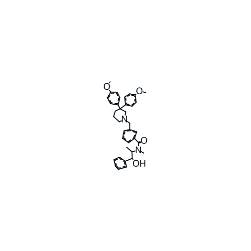 COc1ccc(C2(c3ccc(OC)cc3)CCCN(Cc3cccc(C(=O)N(C)C(C)C(O)c4ccccc4)c3)C2)cc1